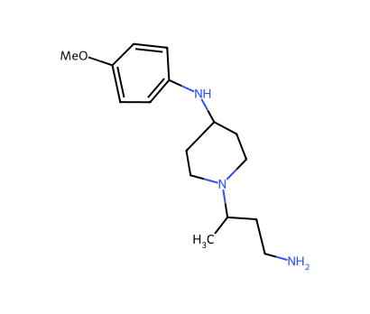 COc1ccc(NC2CCN(C(C)CCN)CC2)cc1